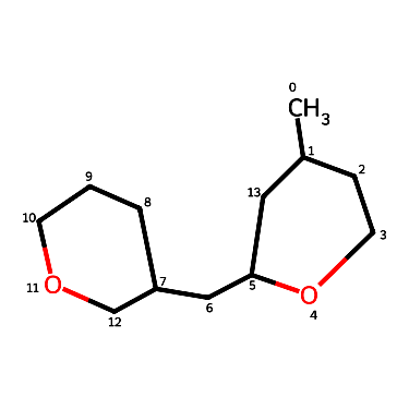 CC1CCOC(CC2CCCOC2)C1